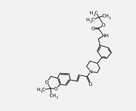 CC(C)(C)OC(=O)NCc1cccc(C2CCN(C(=O)/C=C/c3ccc4c(c3)OC(C)(C)OC4)CC2)c1